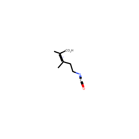 C/C(CCN=C=O)=C(\C)C(=O)O